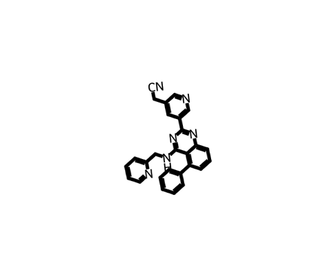 N#CCc1cncc(-c2nc(NCc3ccccn3)c3c(-c4ccccc4)cccc3n2)c1